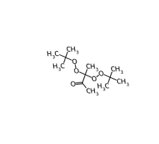 CC(=O)C(C)(OOC(C)(C)C)OOC(C)(C)C